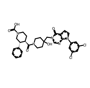 O=C(O)N1CC[C@@H](C(=O)N2CCC(O)(Cn3cnc4c(ccn4-c4cc(Cl)cc(Cl)c4)c3=O)CC2)[C@H](c2ccccc2)C1